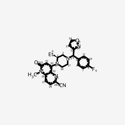 CC[C@H]1CN(C(c2ccc(F)cc2)c2ccon2)CCN1c1cc(=O)n(C)c2ccc(C#N)nc12